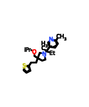 CCC(C)(c1ccc(C)nc1)N1CCC(CCc2cccs2)(COC(C)C)C1